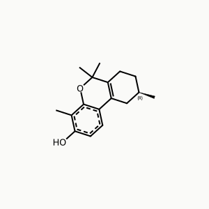 Cc1c(O)ccc2c1OC(C)(C)C1=C2C[C@H](C)CC1